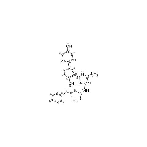 Nc1nc(NC(CO)CSCc2ccccc2)cc(-c2cc(-c3ccc(O)cc3)ccc2O)n1